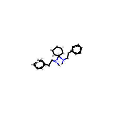 CN(CCc1ccccc1)C1(N(C)CCc2ccccc2)CCCCC1